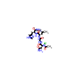 CC(=O)N(Cl)[C@@H](CC(N)=O)C(=O)NCC(=O)N[C@@H](CC(C)C)C(=O)N[C@@H](Cc1c[nH]cn1)C(N)=O